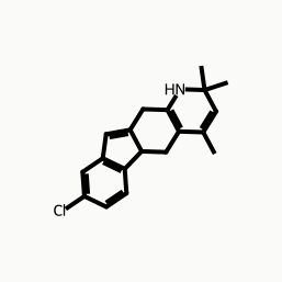 CC1=CC(C)(C)NC2=C1CC1C(=Cc3cc(Cl)ccc31)C2